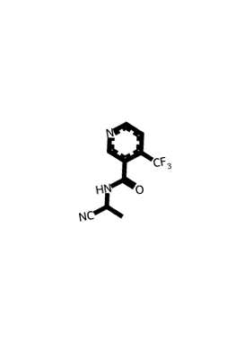 CC(C#N)NC(=O)c1cnccc1C(F)(F)F